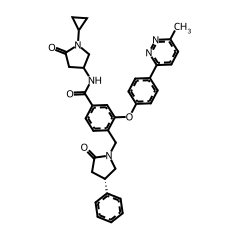 Cc1ccc(-c2ccc(Oc3cc(C(=O)NC4CC(=O)N(C5CC5)C4)ccc3CN3C[C@H](c4ccccc4)CC3=O)cc2)nn1